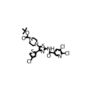 CC(C)(C)OC(=O)N1CCN(c2sc(NC(=O)c3cnc(Cl)c(Cl)c3)nc2-c2cc(Cl)cs2)CC1